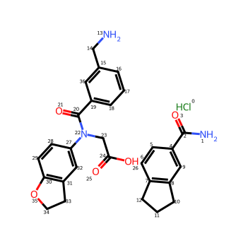 Cl.NC(=O)c1ccc2c(c1)CCC2.NCc1cccc(C(=O)N(CC(=O)O)c2ccc3c(c2)CCO3)c1